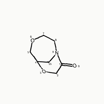 O=C1COC2COCCN1C2